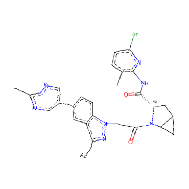 CC(=O)c1nn(CC(=O)N2C3CC3C[C@H]2C(=O)Nc2nc(Br)ccc2C)c2ccc(-c3cnc(C)nc3)cc12